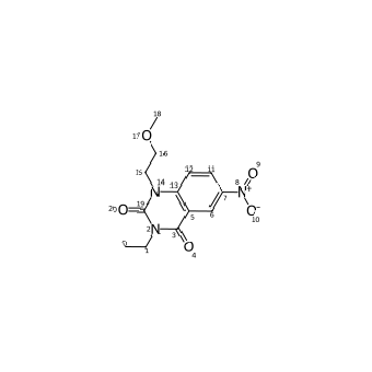 CCn1c(=O)c2cc([N+](=O)[O-])ccc2n(CCOC)c1=O